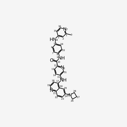 Cc1cc(Nc2ccc(NC(=O)c3ccc(Nc4ccnc5ccc(N6CCC6)cc45)cn3)cc2)ccn1